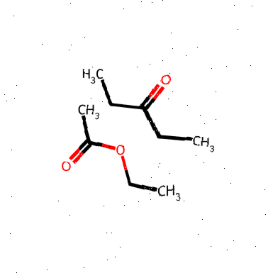 CCC(=O)CC.CCOC(C)=O